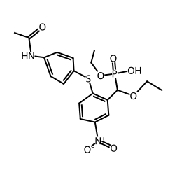 CCOC(c1cc([N+](=O)[O-])ccc1Sc1ccc(NC(C)=O)cc1)P(=O)(O)OCC